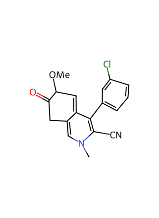 COC1C=C2C(=CN(C)C(C#N)=C2c2cccc(Cl)c2)CC1=O